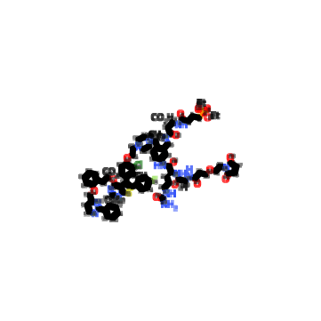 CCOP(=O)(CCCC(=O)N[C@@H](CC(=O)N(C)Cc1cc(NC(=O)[C@H](CCCNC(N)=O)NC(=O)[C@@H](NC(=O)CCOCCN2C(=O)C=CC2=O)C(C)C)ccc1C[N+]1(C)CCN(CCOc2ccc(-c3c(-c4ccc(F)cc4)sc4ncnc(O[C@H](Cc5ccccc5OCc5ccnc(-c6ccccc6OC)n5)C(=O)O)c34)c(C)c2Cl)CC1)C(=O)O)OCC